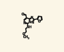 COCCNc1ncc(C=O)c2nc(-c3ccco3)nn12